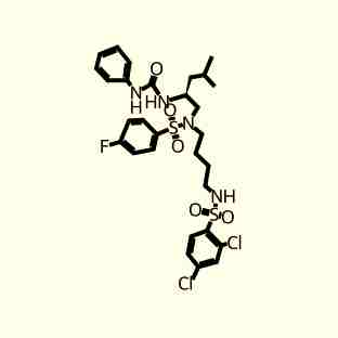 CC(C)C[C@@H](CN(CCCCNS(=O)(=O)c1ccc(Cl)cc1Cl)S(=O)(=O)c1ccc(F)cc1)NC(=O)Nc1ccccc1